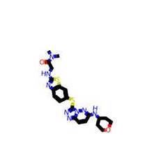 CN(C)C(=O)CNc1nc2ccc(Sc3nnc4ccc(NC5CCOCC5)nn34)cc2s1